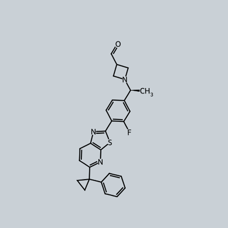 C[C@@H](c1ccc(-c2nc3ccc(C4(c5ccccc5)CC4)nc3s2)c(F)c1)N1CC(C=O)C1